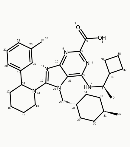 C[C@@H](Nc1nc(C(=O)O)nc2nc(N3CCCCC3c3cccc(F)c3)n(C[C@H]3CC[C@H](C)CC3)c12)C1CCC1